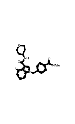 CNC(=O)c1ccc(Cn2cc(C(=O)NC3CCSCC3)c3c(F)cccc32)cc1